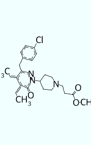 CC=c1c(Cc2ccc(Cl)cc2)nn(C2CCN(CCC(=O)OC)CC2)c(=O)c1=CC